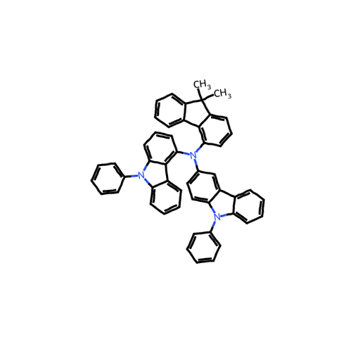 CC1(C)c2ccccc2-c2c(N(c3ccc4c(c3)c3ccccc3n4-c3ccccc3)c3cccc4c3c3ccccc3n4-c3ccccc3)cccc21